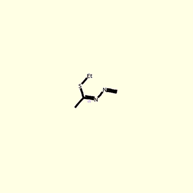 C=N/N=C(/C)SCC